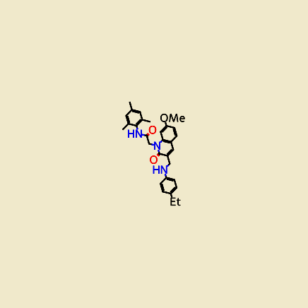 CCc1ccc(NCc2cc3ccc(OC)cc3n(CC(=O)Nc3c(C)cc(C)cc3C)c2=O)cc1